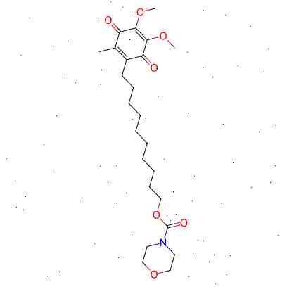 COC1=C(OC)C(=O)C(CCCCCCCCCCOC(=O)N2CCOCC2)=C(C)C1=O